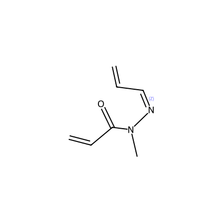 C=C/C=N\N(C)C(=O)C=C